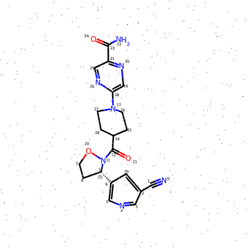 N#Cc1cncc([C@@H]2CCON2C(=O)C2CCN(c3cnc(C(N)=O)cn3)CC2)c1